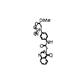 COC(=O)CN(c1ccc(NC(=O)Cn2cnc3ccccc3c2=O)cc1)[SH](=O)=O